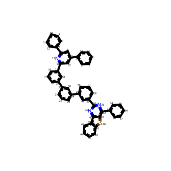 c1ccc(-c2cc(-c3ccccc3)nc(-c3cccc(-c4cccc(-c5cccc(-c6nc(-c7ccccc7)c7sc8ccccc8c7n6)c5)c4)c3)c2)cc1